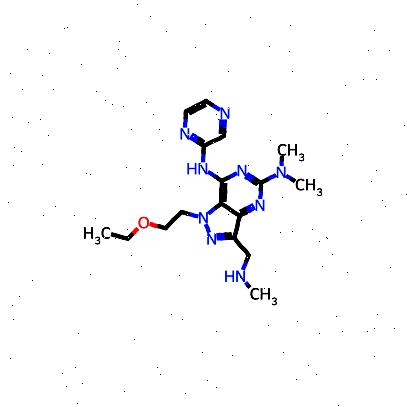 CCOCCn1nc(CNC)c2nc(N(C)C)nc(Nc3cnccn3)c21